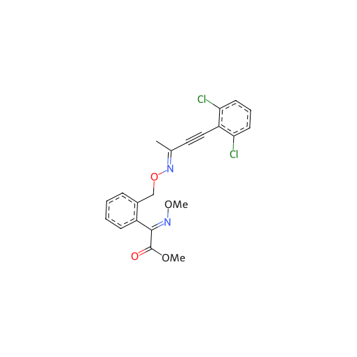 CO/N=C(/C(=O)OC)c1ccccc1CO/N=C(\C)C#Cc1c(Cl)cccc1Cl